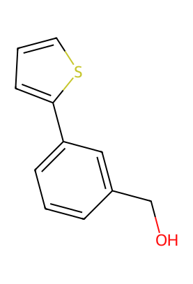 OCc1cccc(-c2cccs2)c1